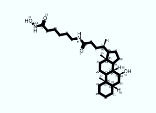 C[C@H](CCC(=O)NCCCCCC(=O)NO)C1CCC2[C@H]3C(CC[C@@]21C)[C@@]1(C)CCCC[C@H]1C[C@@H]3O